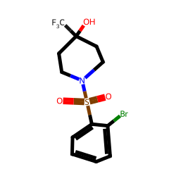 O=S(=O)(c1ccccc1Br)N1CCC(O)(C(F)(F)F)CC1